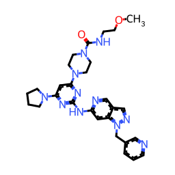 COCCNC(=O)N1CCN(c2cc(N3CCCC3)nc(Nc3cc4c(cn3)cnn4Cc3cccnc3)n2)CC1